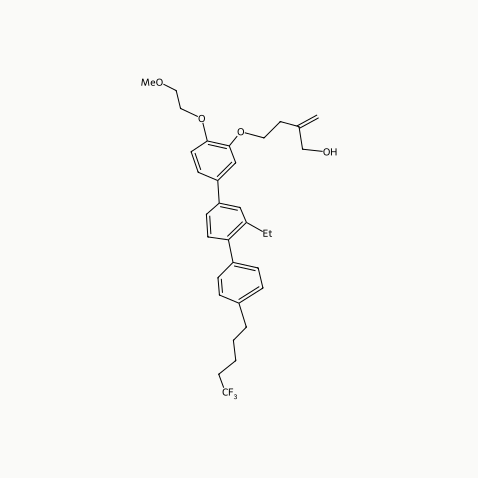 C=C(CO)CCOc1cc(-c2ccc(-c3ccc(CCCCC(F)(F)F)cc3)c(CC)c2)ccc1OCCOC